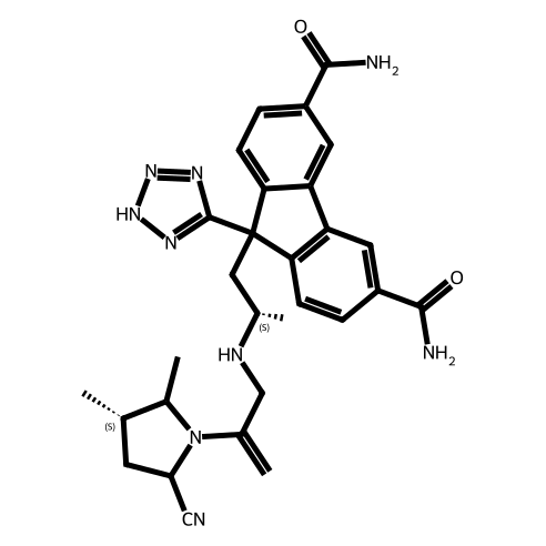 C=C(CN[C@@H](C)CC1(c2nn[nH]n2)c2ccc(C(N)=O)cc2-c2cc(C(N)=O)ccc21)N1C(C#N)C[C@H](C)C1C